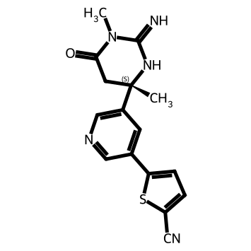 CN1C(=N)N[C@](C)(c2cncc(-c3ccc(C#N)s3)c2)CC1=O